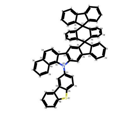 c1ccc2c(c1)-c1ccccc1C21c2ccccc2C2(c3ccccc3-c3cc4c(cc32)c2ccc3ccccc3c2n4-c2ccc3sc4ccccc4c3c2)c2ccccc21